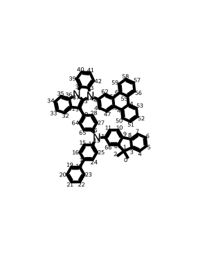 CC1(C)c2ccccc2-c2ccc(N(c3ccc(-c4ccccc4)cc3)c3ccc(-c4c5ccccc5n5c6ccccc6n(-c6ccc7c8ccccc8c8ccccc8c7c6)c45)cc3)cc21